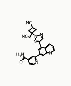 N#CCC1(n2ncc(-c3cc(-c4cc(C(N)=O)ccn4)cc4ncccc34)n2)CC(C#N)C1